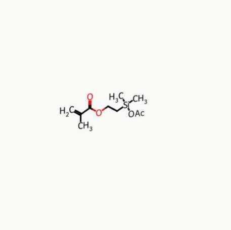 C=C(C)C(=O)OCC[Si](C)(C)OC(C)=O